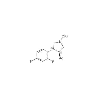 CC(=O)[C@@H]1CN(C(C)(C)C)C[C@H]1c1ccc(F)cc1F